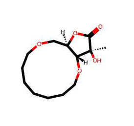 C[C@@]1(O)C(=O)O[C@@H]2COCCCCCCCO[C@H]21